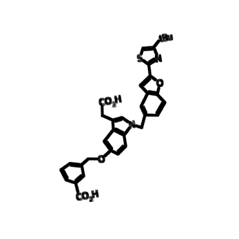 CC(C)(C)c1csc(-c2cc3cc(Cn4cc(CC(=O)O)c5cc(OCc6cccc(C(=O)O)c6)ccc54)ccc3o2)n1